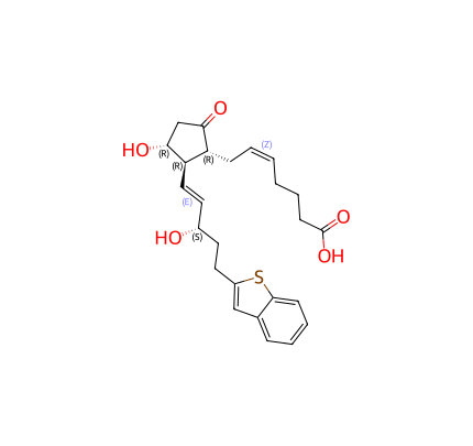 O=C(O)CCC/C=C\C[C@H]1C(=O)C[C@@H](O)[C@@H]1/C=C/[C@@H](O)CCc1cc2ccccc2s1